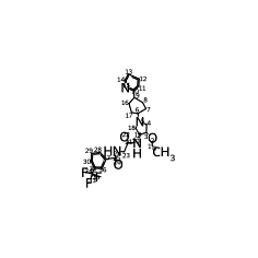 CCOC1CN(C2CCC(c3ccccn3)CC2)C[C@@H]1NC(=O)CNC(=O)c1cccc(C(F)(F)F)c1